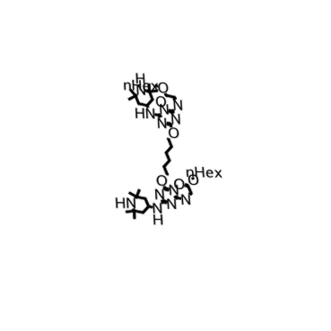 CCCCCCOC(=O)/C=N\c1nc(NC2CC(C)(C)NC(C)(C)C2)nc(OCCCCCCOc2nc(/N=C\C(=O)OCCCCCC)nc(NC3CC(C)(C)NC(C)(C)C3)n2)n1